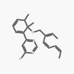 C\C=C/C=C\C(=C/C)COC1(C)C(c2cc(Cl)ncn2)=CC=CC1C